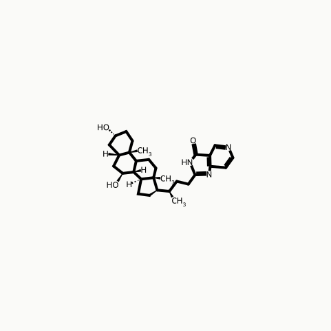 C[C@H](CCc1nc2ccncc2c(=O)[nH]1)[C@H]1CC[C@H]2[C@H]3C(CC[C@]12C)[C@@]1(C)CC[C@@H](O)C[C@H]1C[C@@H]3O